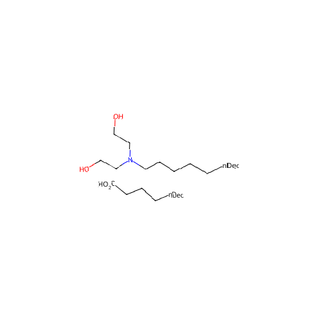 CCCCCCCCCCCCCC(=O)O.CCCCCCCCCCCCCCCN(CCO)CCO